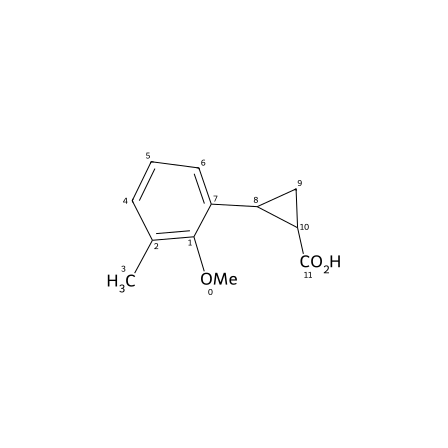 COc1c(C)cccc1C1CC1C(=O)O